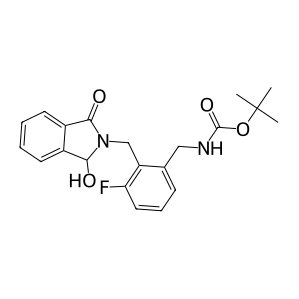 CC(C)(C)OC(=O)NCc1cccc(F)c1CN1C(=O)c2ccccc2C1O